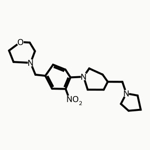 O=[N+]([O-])c1cc(CN2CCOCC2)ccc1N1CCC(CN2CCCC2)CC1